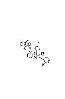 COc1cc(C2(CF)CCCc3nc(SCc4c(F)cccc4Cl)n(-c4ccc(F)cc4)c32)ccc1Cl